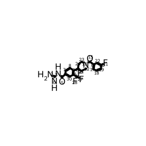 N=C(N)NC(=O)c1ccc(C2CCN(C(=O)c3cccc(F)c3)CC2)c(C(F)(F)F)c1